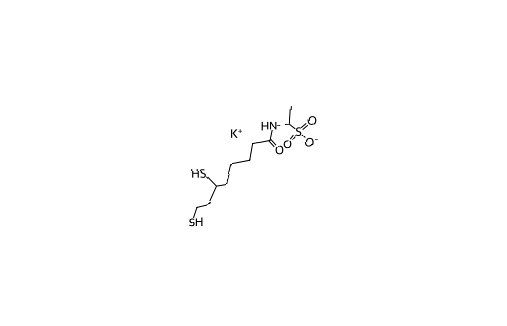 CC(NC(=O)CCCCC(S)CCS)S(=O)(=O)[O-].[K+]